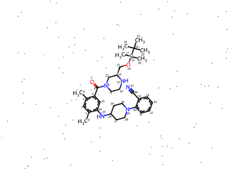 Cc1cc(C)c(C(=O)N2CCN[C@H](CO[Si](C)(C)C(C)(C)C)C2)cc1NC1CCN(c2ccccc2C#N)CC1